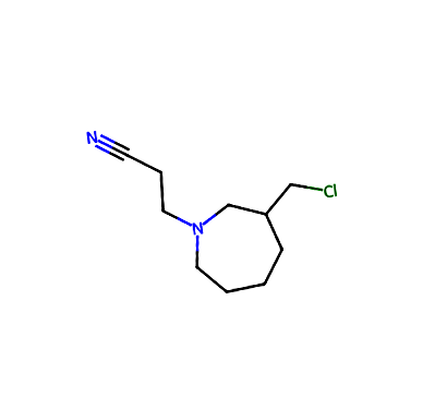 N#CCCN1CCCCC(CCl)C1